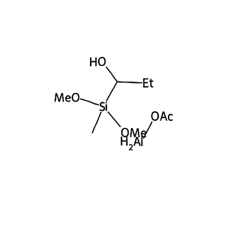 CC(=O)[O][AlH2].CCC(O)[Si](C)(OC)OC